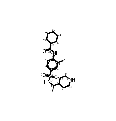 Cc1cc(S(=O)(=O)N[C@H](C)C2CCNCC2)ccc1NC(=O)C1CCCCC1